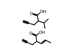 C#CCC(C(=O)O)C(C)C.C#CCC(C=CC)C(=O)O